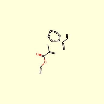 C=CC=C.C=COC(=O)C(=C)C.c1ccccc1